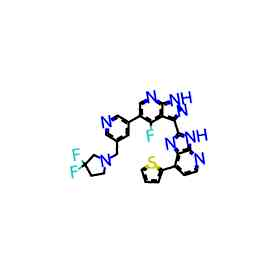 Fc1c(-c2cncc(CN3CCC(F)(F)C3)c2)cnc2[nH]nc(-c3nc4c(-c5cccs5)ccnc4[nH]3)c12